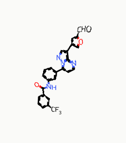 O=Cc1cc(-c2cnn3c(-c4cccc(NC(=O)c5cccc(C(F)(F)F)c5)c4)ccnc23)co1